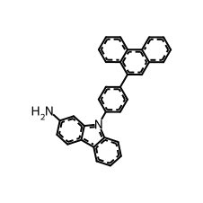 Nc1ccc2c3ccccc3n(-c3ccc(-c4cc5ccccc5c5ccccc45)cc3)c2c1